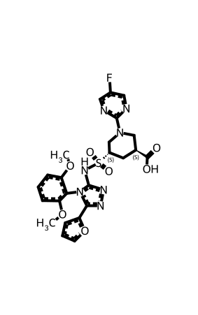 COc1cccc(OC)c1-n1c(NS(=O)(=O)[C@H]2C[C@H](C(=O)O)CN(c3ncc(F)cn3)C2)nnc1-c1ccco1